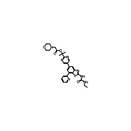 CCNC(=O)Nc1nc2cc(-c3cnc(C(C)(C)OC(=O)CN4CCOCC4)nc3)cc(-c3ccccn3)c2s1